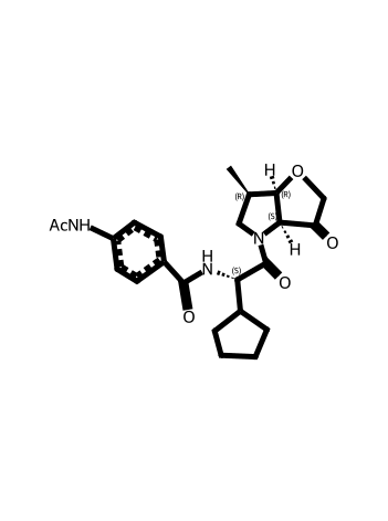 CC(=O)Nc1ccc(C(=O)N[C@H](C(=O)N2C[C@@H](C)[C@H]3OCC(=O)[C@H]32)C2CCCC2)cc1